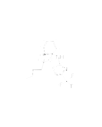 CCCCC(=O)OC1(Nc2nc(C(F)(F)F)cs2)C=CC=CC1=O